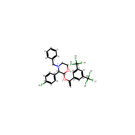 C=C(OC1OCCN(Cc2ccccc2)C1c1ccc(F)cc1)c1cc(C(F)(F)F)cc(C(F)(F)F)c1